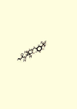 C=CC(=O)N[C@H]1[C@@H]2CN(Cc3cccc(C(F)(F)F)c3)C[C@@H]21